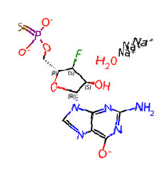 Nc1nc([O-])c2ncn([C@@H]3O[C@H](COP([O-])([O-])=S)[C@@H](F)[C@H]3O)c2n1.O.[Na+].[Na+].[Na+]